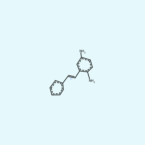 Nc1ccc(N)c(/C=C/c2ccccc2)c1